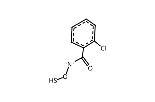 O=C([N+]OS)c1ccccc1Cl